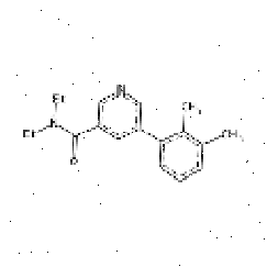 CCN(CC)C(=O)c1cncc(-c2cccc(C)c2C)c1